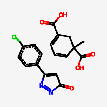 CC1(C(=O)O)C=CC=C(C(=O)O)C1.O=C1C=C(c2ccc(Cl)cc2)N=N1